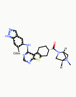 COc1cc2[nH]ncc2cc1Nc1ncnc2sc3c(c12)CC[C@H](C(=O)N1C[C@@H]2C[C@H]1CN2C)C3